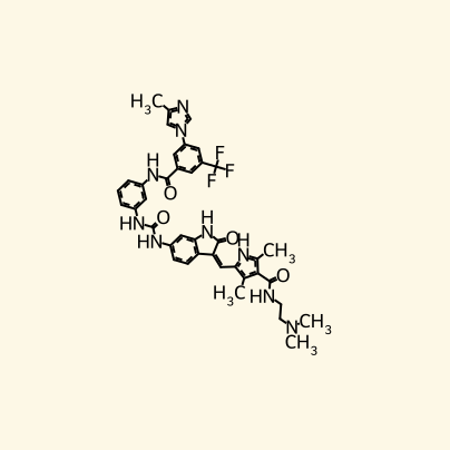 Cc1cn(-c2cc(C(=O)Nc3cccc(NC(=O)Nc4ccc5c(c4)NC(=O)C5=Cc4[nH]c(C)c(C(=O)NCCN(C)C)c4C)c3)cc(C(F)(F)F)c2)cn1